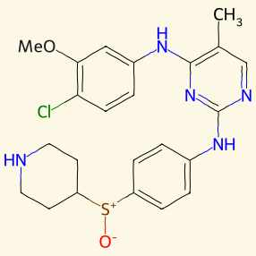 COc1cc(Nc2nc(Nc3ccc([S+]([O-])C4CCNCC4)cc3)ncc2C)ccc1Cl